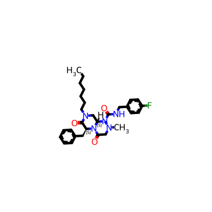 CCCCCCCN1C[C@H]2N(C(=O)CN(C)N2C(=O)NCc2ccc(F)cc2)[C@@H](Cc2ccccc2)C1=O